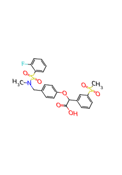 CN(Cc1ccc(OC(C(=O)O)c2cccc(S(C)(=O)=O)c2)cc1)S(=O)(=O)c1ccccc1F